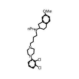 CCCN(CCCCN1CCN(c2cccc(Cl)c2Cl)CC1)C1CCc2ccc(OC)cc2C1